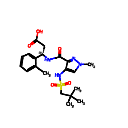 Cc1ccccc1[C@H](CC(=O)O)NC(=O)c1nn(C)cc1NS(=O)(=O)CC(C)(C)C